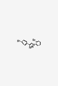 Brc1ccc(-c2cn(-c3ccccc3Br)nn2)cc1